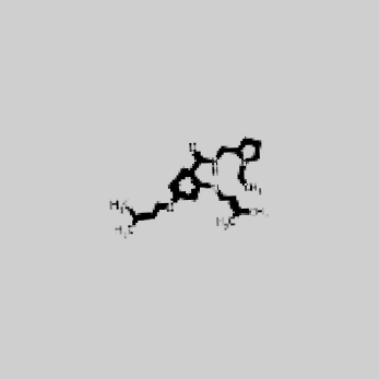 CCN1CCCC1CNC(=O)c1ccc(OCC=C(C)C)cc1OCC=C(C)C